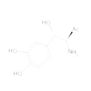 CC(=O)[C@@H](N)[C@@H](O)c1ccc(O)c(O)c1